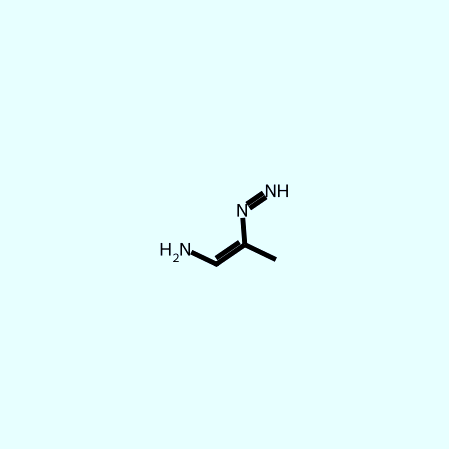 C/C(=C/N)N=N